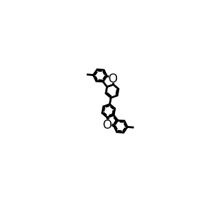 Cc1ccc2c(c1)C1C=C(c3ccc4oc5ccc(C)cc5c4c3)C=CC1O2